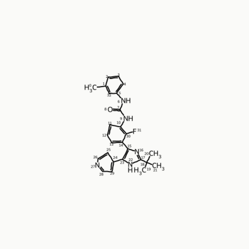 Cc1cccc(NC(=O)Nc2cccc(-c3nc(C(C)(C)C)[nH]c3-c3ccncc3)c2F)c1